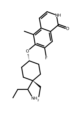 CCC(N)[C@]1(CC)CC[C@H](Oc2c(F)cc3c(=O)[nH]ccc3c2C)CC1